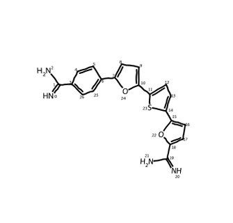 N=C(N)c1ccc(-c2ccc(-c3ccc(-c4ccc(C(=N)N)o4)s3)o2)cc1